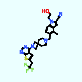 Cc1c(CN2CCC3(CC2)CN(c2ncnc4sc(CC(F)(F)F)cc24)C3)ccc2c1cc(C#N)n2CCO